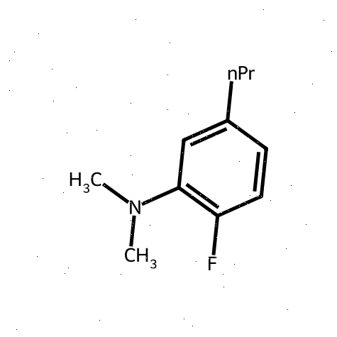 CCCc1ccc(F)c(N(C)C)c1